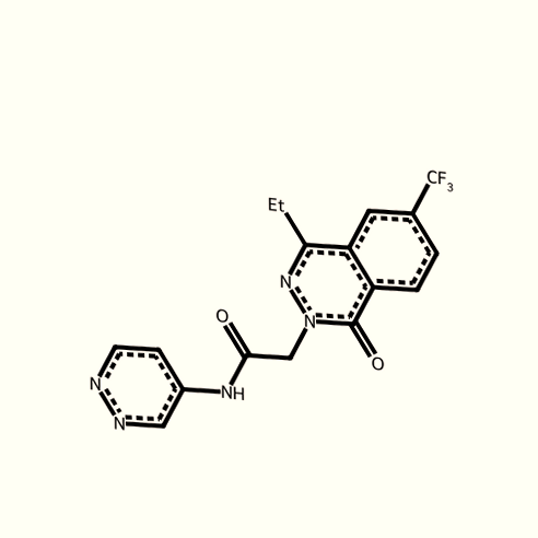 CCc1nn(CC(=O)Nc2ccnnc2)c(=O)c2ccc(C(F)(F)F)cc12